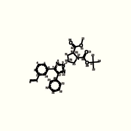 C=Cc1cccc(-c2nn([C@@H]3C[C@@H](C(=O)OC)N(C(=O)OC(C)(C)C)C3)nc2-c2ccccc2)c1